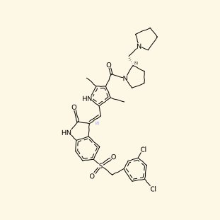 Cc1[nH]c(/C=C2\C(=O)Nc3ccc(S(=O)(=O)Cc4cc(Cl)cc(Cl)c4)cc32)c(C)c1C(=O)N1CCC[C@H]1CN1CCCC1